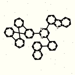 c1ccc(-c2cccc3ccccc23)c(-c2cc(-c3cccc4c3sc3ccccc34)nc(-c3ccc4c(c3)-c3ccccc3C43c4ccccc4-c4ccccc43)n2)c1